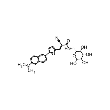 CN(C)c1ccc2cc(-c3ccc(/C=C(\C#N)C(=O)NC[C@H]4OC(O)[C@H](O)[C@@H](O)[C@@H]4O)o3)ccc2c1